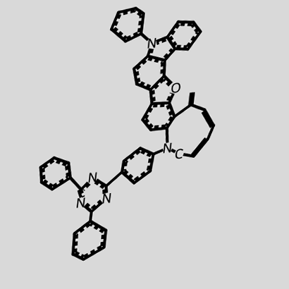 C=C1/C=C\C=C/CN(c2ccc(-c3nc(-c4ccccc4)nc(-c4ccccc4)n3)cc2)c2ccc3c(oc4c3ccc3c4c4ccccc4n3-c3ccccc3)c21